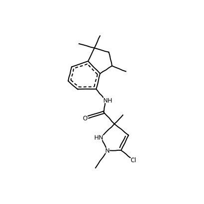 CC1CC(C)(C)c2cccc(NC(=O)C3(C)C=C(Cl)N(C)N3)c21